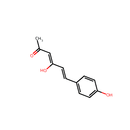 CC(=O)C=C(O)C=Cc1ccc(O)cc1